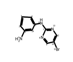 Nc1cccc(Nc2ncc(Br)cn2)c1